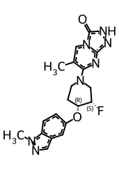 Cc1cn2c(=O)[nH]nc2nc1N1CC[C@@H](Oc2ccc3c(cnn3C)c2)[C@@H](F)C1